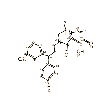 CCCN(CCC(c1ccc(F)cc1)c1cccc(Cl)c1)C(=O)c1[nH]ncc(=O)c1O